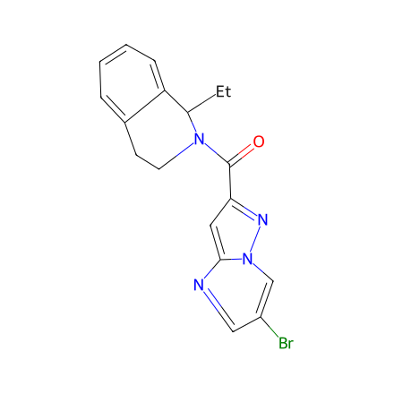 CCC1c2ccccc2CCN1C(=O)c1cc2ncc(Br)cn2n1